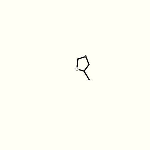 [CH2]C1CSCO1